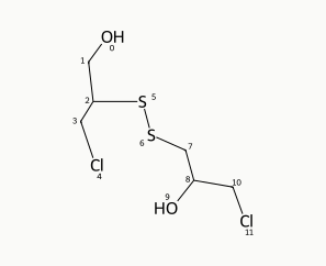 OCC(CCl)SSCC(O)CCl